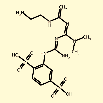 C=C(/N=C(\N=C(/N)Nc1cc(S(=O)(=O)O)ccc1S(=O)(=O)O)N(C)C)NCCN